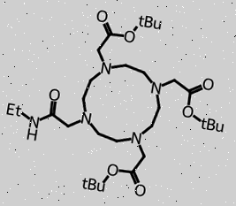 CCNC(=O)CN1CCN(CC(=O)OC(C)(C)C)CCN(CC(=O)OC(C)(C)C)CCN(CC(=O)OC(C)(C)C)CC1